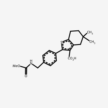 COC(=O)NCc1ccc(-c2sc3c(c2C(=O)O)CC(C)(C)CC3)cc1